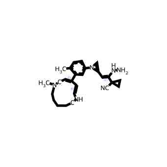 Cc1ccc(N2C=C2/C=C(\NN)C2(C#N)CC2)cc1C1=C/CN(C)CCCCCN\C=C\1